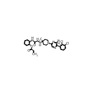 C=CC(=O)Oc1ccccc1NC(=O)CNC1(C)CCN(c2cnc(-c3cccc(Cl)c3Cl)c(N)n2)CC1